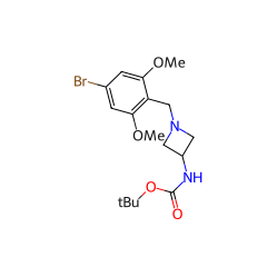 COc1cc(Br)cc(OC)c1CN1CC(NC(=O)OC(C)(C)C)C1